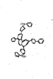 c1ccc(Nc2ccc(-c3cc(-c4ccccc4)c4ccc5c(-c6ccc(Nc7ccccc7)cc6)cc(-c6ccc(-c7ccccc7)cc6)cc5c4c3)cc2)cc1